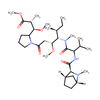 CC[C@H](C)[C@@H]([C@@H](CC(=O)N1CCCC1[C@H](OC)[C@@H](C)C(=O)OC)OC)N(C)C(=O)C(NC(=O)[C@@H]1[C@H]2CC[C@H](C2)N1C)C(C)C